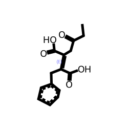 CCC(=O)C/C(C(=O)O)=C(/Cc1ccccc1)C(=O)O